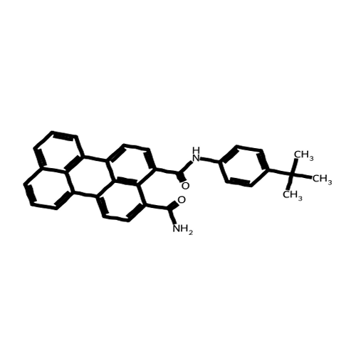 CC(C)(C)c1ccc(NC(=O)c2ccc3c4cccc5cccc(c6ccc(C(N)=O)c2c63)c54)cc1